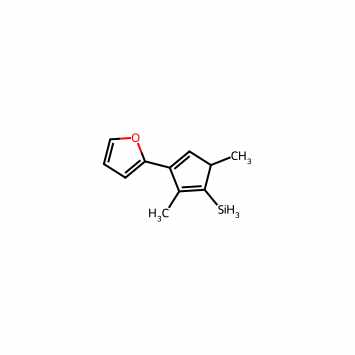 CC1=C([SiH3])C(C)C=C1c1ccco1